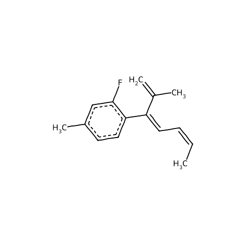 C=C(C)/C(=C\C=C/C)c1ccc(C)cc1F